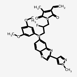 C=CC1=C(C)C(=O)N(CC(F)CN(c2cc(OC)cc(OC)c2)c2ccc3ncc(-c4cnn(C)c4)nc3c2)C1=O